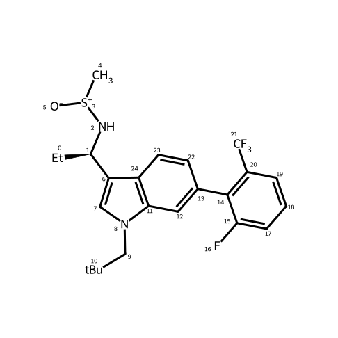 CC[C@@H](N[S+](C)[O-])c1cn(CC(C)(C)C)c2cc(-c3c(F)cccc3C(F)(F)F)ccc12